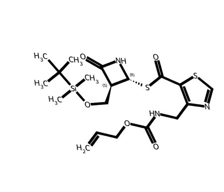 C=CCOC(=O)NCc1ncsc1C(=O)S[C@H]1NC(=O)[C@@H]1CO[Si](C)(C)C(C)(C)C